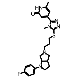 Cc1cc(-c2nnc(SCCCN3CC4CCN(c5ccc(F)cc5)C4C3)n2C)cc(=O)[nH]1